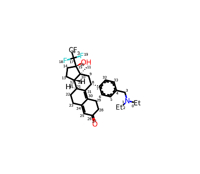 CCN(CC)Cc1ccc([C@H]2C[C@@]3(C)[C@@H](CC[C@]3(O)C(F)(F)C(F)(F)F)[C@@H]3CCC4=CC(=O)CCC4=C32)cc1